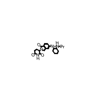 CC(C)NC1CCCCC1Nc1ccc2c(c1)CN(C1CCC(=O)NC1=O)C2=O